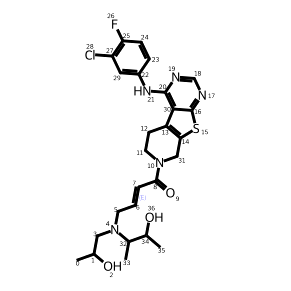 CC(O)CN(C/C=C/C(=O)N1CCc2c(sc3ncnc(Nc4ccc(F)c(Cl)c4)c23)C1)C(C)C(C)O